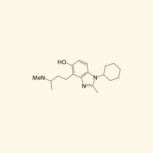 CNC(C)CCc1c(O)ccc2c1nc(C)n2C1CCCCC1